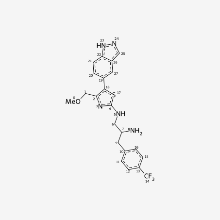 COCc1nc(NCC(N)Cc2ccc(C(F)(F)F)cc2)sc1-c1ccc2[nH]ncc2c1